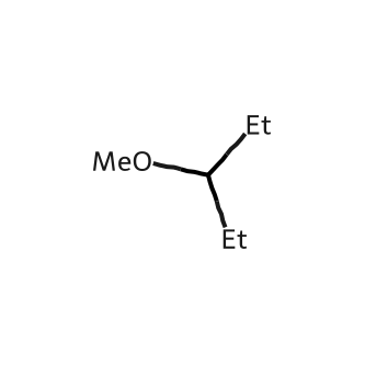 [CH2]OC(CC)CC